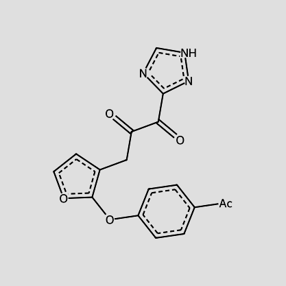 CC(=O)c1ccc(Oc2occc2CC(=O)C(=O)c2nc[nH]n2)cc1